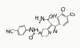 N#Cc1ccc(NC(=O)N2CCn3nc(-c4ccc(Cl)c(Cl)c4)c(C(N)O)c3C2)cc1